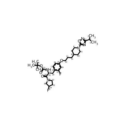 CC(C)c1noc(N2CCC(CCCOc3ccc(C[C@H](NC(=O)OC(C)(C)C)C(=O)N4CCC(F)C4)c(F)c3)CC2)n1